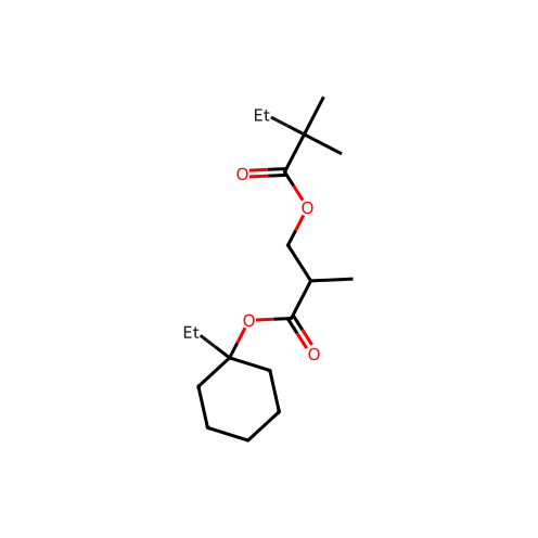 CCC1(OC(=O)C(C)COC(=O)C(C)(C)CC)CCCCC1